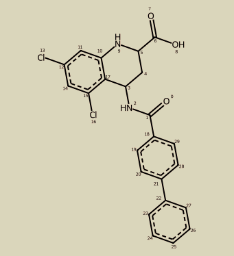 O=C(NC1CC(C(=O)O)Nc2cc(Cl)cc(Cl)c21)c1ccc(-c2ccccc2)cc1